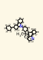 CC1(C)c2cc(-n3c4ccccc4c4cc(-c5ccccc5)ccc43)ccc2-c2c1c1cccnc1c1ccccc21